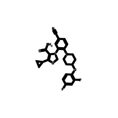 N#Cc1ccc(N2CCC(Oc3ccc(F)cc3F)CC2)c(N2COC(C3CC3)=C2C(N)=O)c1